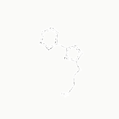 CCC[CH]n1nnc(-c2cccnc2)n1